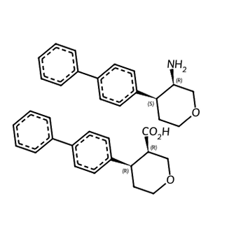 N[C@H]1COCC[C@H]1c1ccc(-c2ccccc2)cc1.O=C(O)[C@H]1COCC[C@H]1c1ccc(-c2ccccc2)cc1